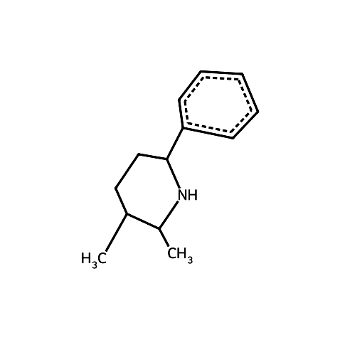 CC1CCC(c2ccccc2)NC1C